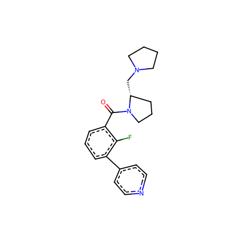 O=C(c1cccc(-c2ccncc2)c1F)N1CCC[C@H]1CN1CCCC1